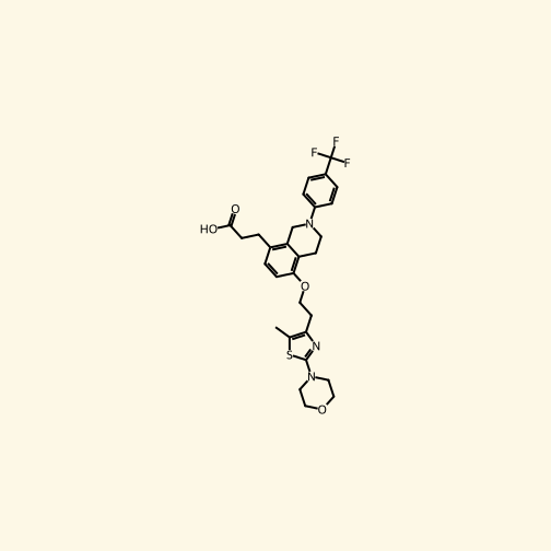 Cc1sc(N2CCOCC2)nc1CCOc1ccc(CCC(=O)O)c2c1CCN(c1ccc(C(F)(F)F)cc1)C2